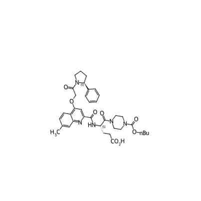 CCCCOC(=O)N1CCN(C(=O)[C@H](CCC(=O)O)NC(=O)c2cc(OCC(=O)N3CCC[C@H]3c3ccccc3)c3ccc(C)cc3n2)CC1